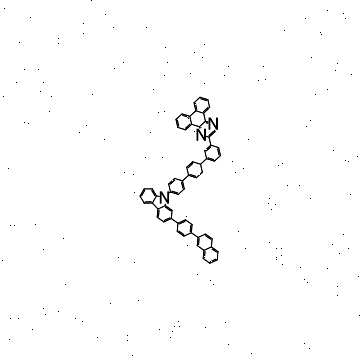 C1=CC(c2cccc(-c3cnc4c5ccccc5c5ccccc5c4n3)c2)CC=C1c1ccc(-n2c3ccccc3c3ccc(-c4ccc(-c5ccc6ccccc6c5)cc4)cc32)cc1